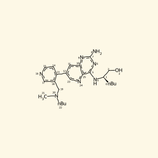 CCCC[C@H](CO)Nc1nc(N)nc2cc(-c3ccncc3CN(C)CCCC)cnc12